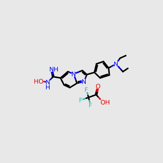 CCN(CC)c1ccc(-c2cn3cc(C(=N)NO)ccc3n2)cc1.O=C(O)C(F)(F)F